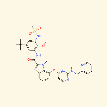 COc1c(NC(=O)c2cc3cccc(Oc4ccnc(NCc5ccccn5)n4)c3n2C)cc(C(C)(C)C)cc1NS(C)(=O)=O